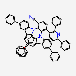 N#Cc1ccc(-c2ccc(-c3ccccc3)nc2-c2ccccc2)c(-n2c3ccc(-c4ccccc4)cc3c3cc(-c4ccccc4)ccc32)c1-n1c2ccc(-c3ccccc3)cc2c2cc(-c3ccccc3)ccc21